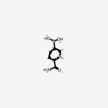 NC(=O)c1ccc(B(O)O)cn1